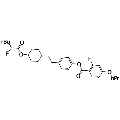 CCCC[C@H](F)C(=O)O[C@H]1CC[C@H](CCc2ccc(OC(=O)c3ccc(OCCC)cc3F)cc2)CC1